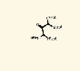 CCCCCCCC(CCCCC)C(=O)C(CCCCC)CCCCCCC